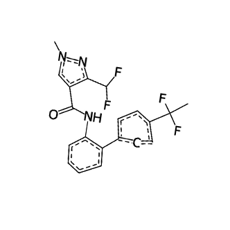 Cn1cc(C(=O)Nc2ccccc2-c2ccc(C(C)(F)F)cc2)c(C(F)F)n1